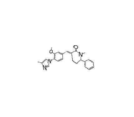 COc1cc(C=C2CCC(c3ccccc3)N(C)C2=O)ccc1-n1cnc(C)c1